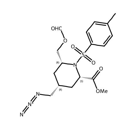 COC(=O)[C@@H]1C[C@H](CN=[N+]=[N-])C[C@H](COC=O)N1S(=O)(=O)c1ccc(C)cc1